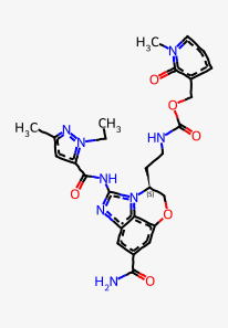 CCn1nc(C)cc1C(=O)Nc1nc2cc(C(N)=O)cc3c2n1[C@@H](CCNC(=O)OCc1cccn(C)c1=O)CO3